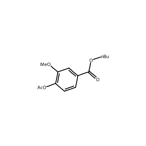 CCCCOC(=O)c1ccc(OC(C)=O)c(OC)c1